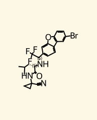 CC(C)C[C@H](N[C@@H](c1ccc2c(c1)oc1ccc(Br)cc12)C(F)(F)F)C(=O)NC1(C#N)CC1